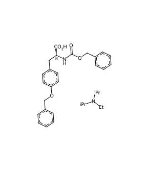 CCN(C(C)C)C(C)C.O=C(N[C@@H](Cc1ccc(OCc2ccccc2)cc1)C(=O)O)OCc1ccccc1